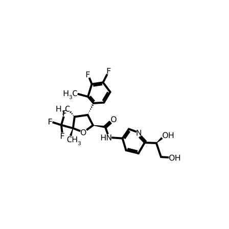 Cc1c([C@@H]2[C@@H](C(=O)Nc3ccc([C@@H](O)CO)nc3)O[C@](C)(C(F)(F)F)[C@@H]2C)ccc(F)c1F